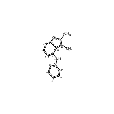 Cc1oc2ncnc(Nc3ccncc3)c2c1C